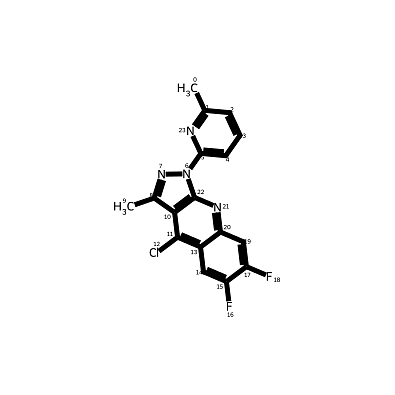 Cc1cccc(-n2nc(C)c3c(Cl)c4cc(F)c(F)cc4nc32)n1